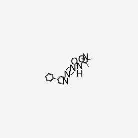 Cc1noc(NC(=O)N2CCN(c3cc(-c4ccccc4)ccn3)CC2)c1C